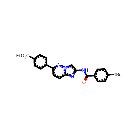 CCOC(=O)c1ccc(-c2ccc3nc(NC(=O)c4ccc(C(C)(C)C)cc4)cn3n2)cc1